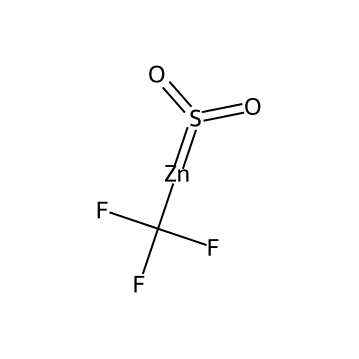 O=[S](=O)=[Zn][C](F)(F)F